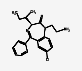 CCC(C)[C@@H]1N=C(c2ccccc2)c2cc(Cl)ccc2N(CCN)C1=O